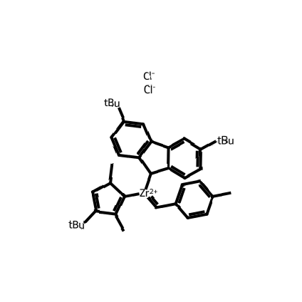 CC1=[C](/[Zr+2](=[CH]/c2ccc(C)cc2)[CH]2c3ccc(C(C)(C)C)cc3-c3cc(C(C)(C)C)ccc32)C(C)C=C1C(C)(C)C.[Cl-].[Cl-]